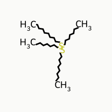 CCCCCCCCCCSS(CCCCCCCC)(CCCCCCCC)CCCCCCCCCC